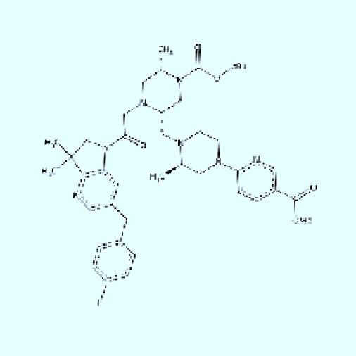 COC(=O)c1ccc(N2CCN(C[C@H]3CN(C(=O)OC(C)(C)C)[C@@H](C)CN3CC(=O)N3CC(C)(C)c4ncc(Cc5ccc(F)cc5)cc43)[C@H](C)C2)nc1